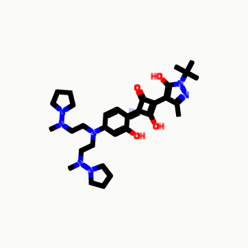 Cc1nn(C(C)(C)C)c(O)c1C1=C(O)/C(=C2/C=CC(N(CCN(C)N3CCCC3)CCN(C)N3CCCC3)C=C2O)C1=O